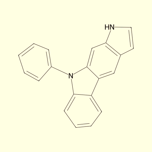 c1ccc(-n2c3ccccc3c3cc4cc[nH]c4cc32)cc1